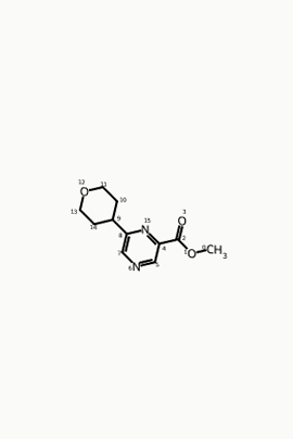 COC(=O)c1cncc(C2CCOCC2)n1